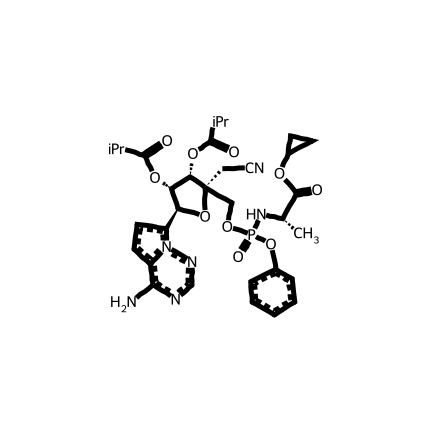 CC(C)C(=O)O[C@H]1[C@H](c2ccc3c(N)ncnn23)O[C@](CC#N)(COP(=O)(N[C@@H](C)C(=O)OC2CC2)Oc2ccccc2)[C@H]1OC(=O)C(C)C